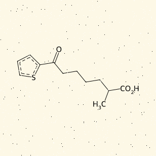 CC(CCCCC(=O)c1cccs1)C(=O)O